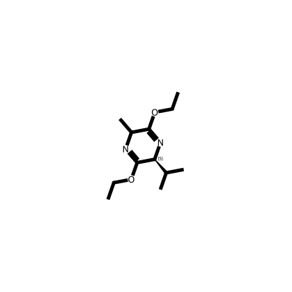 CCOC1=N[C@@H](C(C)C)C(OCC)=NC1C